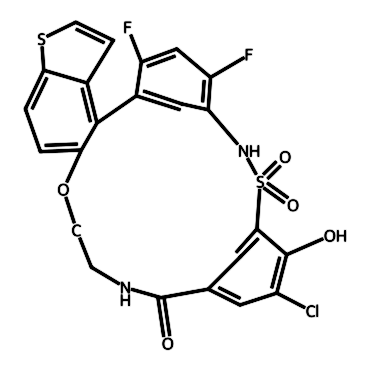 O=C1NCCOc2ccc3sccc3c2-c2cc(c(F)cc2F)NS(=O)(=O)c2cc1cc(Cl)c2O